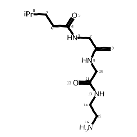 C=C(CNC(=O)CCC(C)C)NCC(=O)NCCN